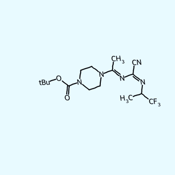 C/C(=N\C(C#N)=N/C(C)C(F)(F)F)N1CCN(C(=O)OC(C)(C)C)CC1